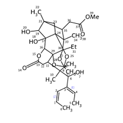 C/C=C\C(=C/C)C(O)C(C)(C)C1CC(=O)OC2C3(O)C(O)C4(C)CC35OC3(C)OC12C(CC)(O3)C5(C)C4CC(=O)OC